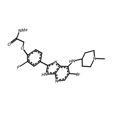 CNC(=O)COc1ccc(-c2nc3c(NC4CCN(C)CC4)c(Br)cnc3[nH]2)cc1F